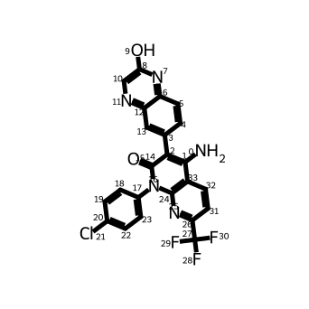 Nc1c(-c2ccc3nc(O)cnc3c2)c(=O)n(-c2ccc(Cl)cc2)c2nc(C(F)(F)F)ccc12